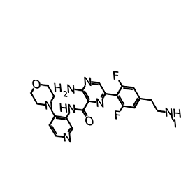 Nc1ncc(-c2c(F)cc(CCNI)cc2F)nc1C(=O)Nc1cnccc1N1CCOCC1